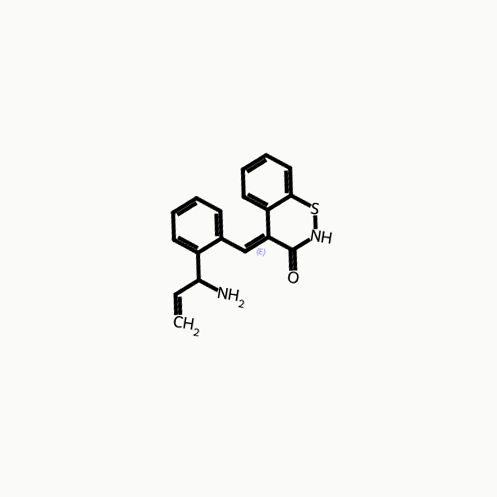 C=CC(N)c1ccccc1/C=C1/C(=O)NSc2ccccc21